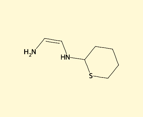 N/C=C\NC1CCCCS1